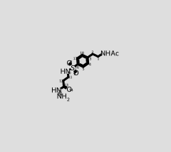 CC(=O)NCCc1ccc(S(=O)(=O)NCCC(=O)NN)cc1